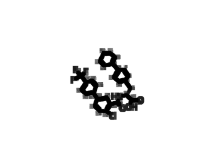 O=C(N[C@@H](Cc1ccc(-c2ccccc2)cc1)C(=O)O)c1cc(-c2ccc(C(F)(F)F)cc2)ccc1Cl